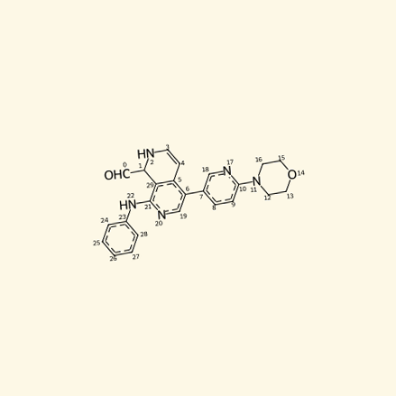 O=CC1NC=Cc2c(-c3ccc(N4CCOCC4)nc3)cnc(Nc3ccccc3)c21